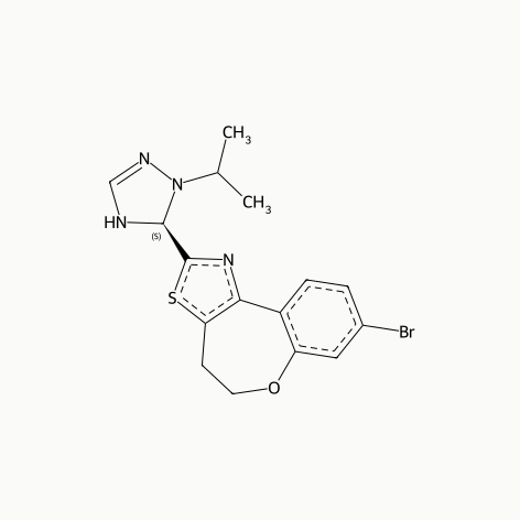 CC(C)N1N=CN[C@@H]1c1nc2c(s1)CCOc1cc(Br)ccc1-2